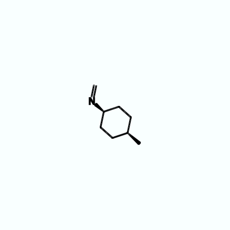 C=N[C@H]1CC[C@@H](C)CC1